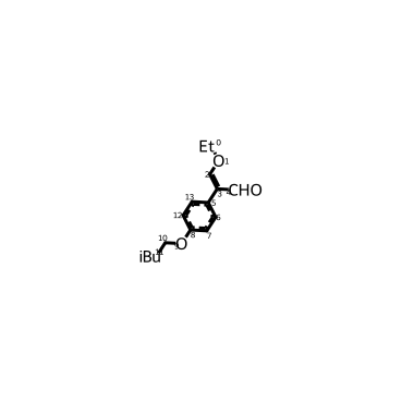 CCOC=C(C=O)c1ccc(OCC(C)CC)cc1